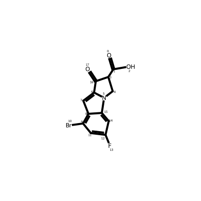 O=C(O)C1Cn2c(cc3c(Br)cc(F)cc32)C1=O